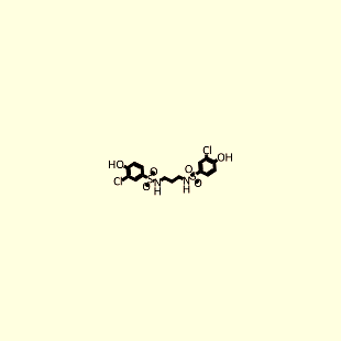 O=S(=O)(NCCCNS(=O)(=O)c1ccc(O)c(Cl)c1)c1ccc(O)c(Cl)c1